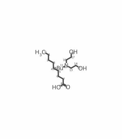 CCCCCCCCC(=O)O.CCCCN(CCO)CCO